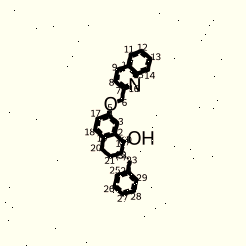 O[C@@H]1c2cc(OCc3ccc4ccccc4n3)ccc2CC[C@H]1Cc1ccccc1